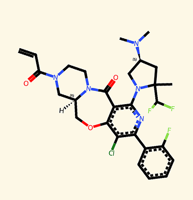 C=CC(=O)N1CCN2C(=O)c3c(N4C[C@@H](N(C)C)CC4(C)C(F)F)nc(-c4ccccc4F)c(Cl)c3OC[C@H]2C1